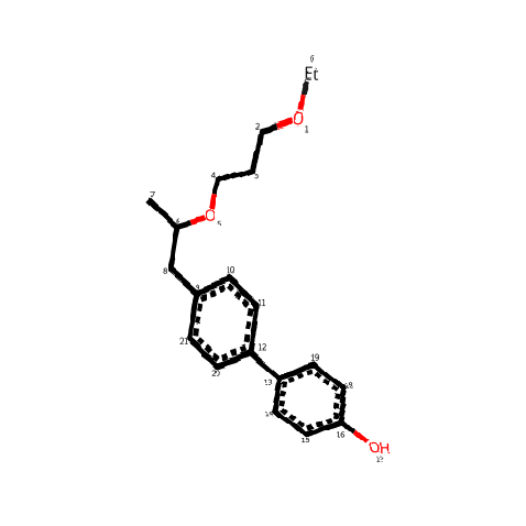 CCOCCCOC(C)Cc1ccc(-c2ccc(O)cc2)cc1